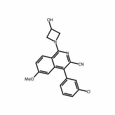 COc1ccc2c(N3CC(O)C3)nc(C#N)c(-c3cccc(Cl)c3)c2c1